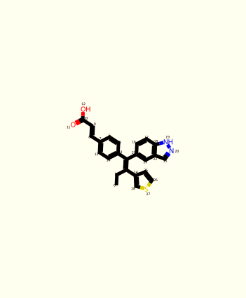 CCC(=C(c1ccc(C=CC(=O)O)cc1)c1ccc2[nH]ncc2c1)c1ccsc1